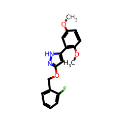 COc1ccc(OC)c(-c2cc(OCc3ccccc3F)n[nH]2)c1